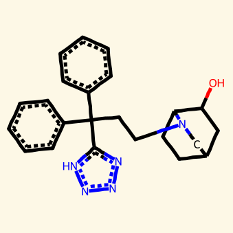 OC1CC2CCC1N(CCC(c1ccccc1)(c1ccccc1)c1nnn[nH]1)C2